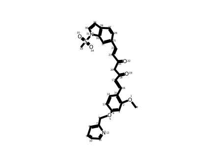 COc1cc(OCc2ccccn2)ccc1C=CC(=O)CC(=O)C=Cc1ccc2ccn(S(C)(=O)=O)c2c1